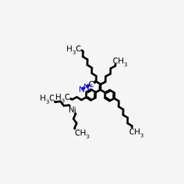 CCCCCCCCC(=C=[N+]=[N-])C(CCCCCC)=C(c1ccc(CCCC)cc1)c1ccc(CCCCCCCC)cc1.CCCC[CH2][Ni][CH2]CCCC